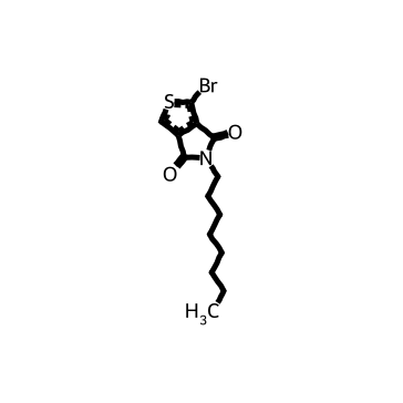 CCCCCCCCN1C(=O)c2csc(Br)c2C1=O